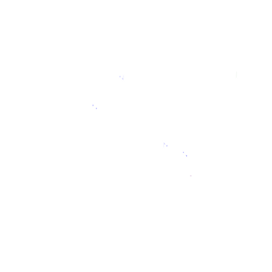 Brc1ccc2c(c1)c(-c1ccnc(N3CCOCC3)c1)nn2PI